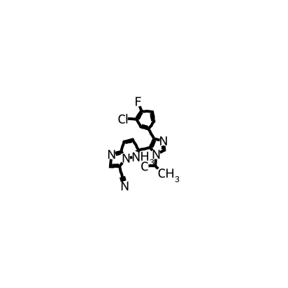 CC(C)n1cnc(-c2ccc(F)c(Cl)c2)c1-c1ccc2ncc(C#N)n2n1